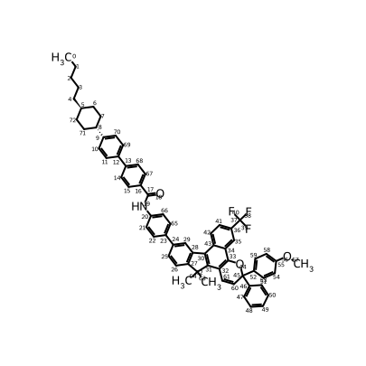 CCCCC[C@H]1CC[C@H](c2ccc(-c3ccc(C(=O)Nc4ccc(-c5ccc6c(c5)-c5c(c7c(c8cc(C(F)(F)F)ccc58)OC(c5ccccc5)(c5ccc(OC)cc5)C=C7)C6(C)C)cc4)cc3)cc2)CC1